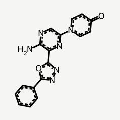 Nc1ncc(-n2ccc(=O)cc2)nc1-c1nnc(-c2ccccc2)o1